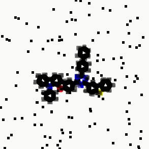 c1ccc(-c2ccc(-c3nc(-c4ccc5oc6c(ccc7c8ccccc8n(-c8ccccc8)c76)c5c4)nc(-c4ccc5sc6ccccc6c5c4)n3)cc2)cc1